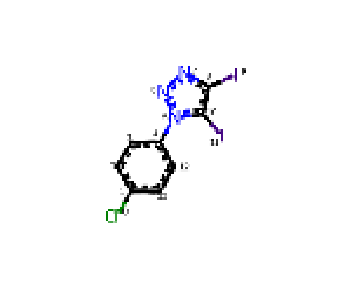 Clc1ccc(-n2nnc(I)c2I)cc1